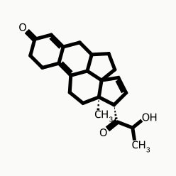 CC(O)C(=O)[C@H]1C=CC23CCC4CC5=CC(=O)CCC5=C(CC[C@]12C)C43